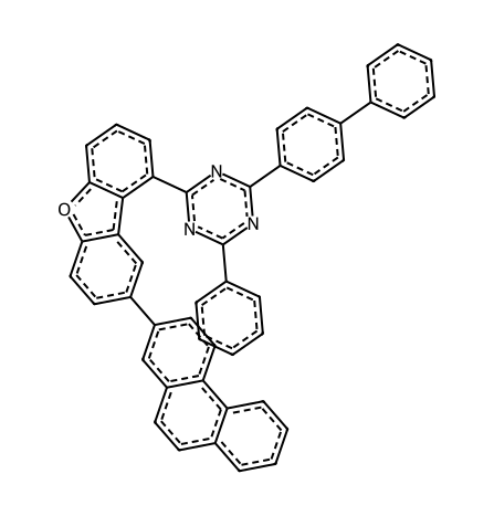 c1ccc(-c2ccc(-c3nc(-c4ccccc4)nc(-c4cccc5oc6ccc(-c7ccc8c(ccc9ccccc98)c7)cc6c45)n3)cc2)cc1